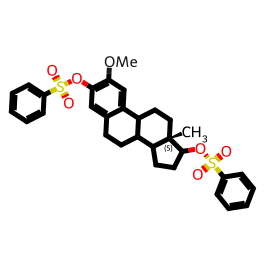 COc1cc2c(cc1OS(=O)(=O)c1ccccc1)CCC1C2CC[C@]2(C)C(OS(=O)(=O)c3ccccc3)CCC12